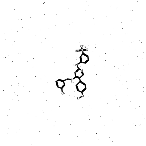 CCOc1ccc(-c2cnc(Nc3cccc(S(C)(=N)=O)c3)nc2NCc2cccc(C#N)c2)cc1